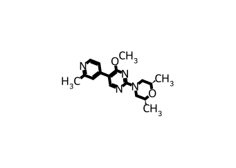 COc1nc(N2C[C@@H](C)O[C@@H](C)C2)ncc1-c1ccnc(C)c1